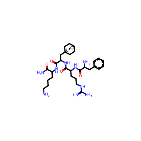 N=C(N)NCCCC(NC(=O)C(N)Cc1ccccc1)C(=O)NC(CC12CCC(CC1)CC2)C(=O)NC(CCCCN)C(N)=O